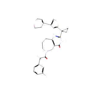 O=C([C@H](O)c1cccc(C(F)(F)F)c1)N1CCCc2nc(C3(c4cc(C5=CCOCC5)cs4)CC3)[nH]c(=O)c2C1